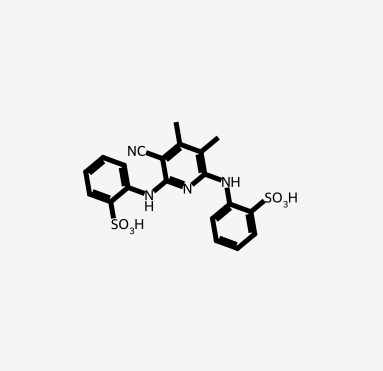 Cc1c(Nc2ccccc2S(=O)(=O)O)nc(Nc2ccccc2S(=O)(=O)O)c(C#N)c1C